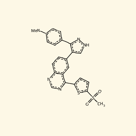 CNc1ccc(-c2n[nH]cc2-c2ccc3ncnc(-c4ccc(S(C)(=O)=O)s4)c3c2)cc1